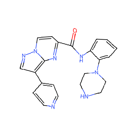 O=C(Nc1ccccc1N1CCNCC1)c1ccn2ncc(-c3ccncc3)c2n1